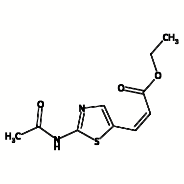 CCOC(=O)/C=C\c1cnc(NC(C)=O)s1